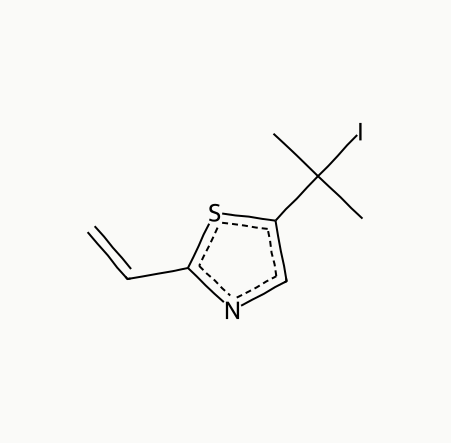 C=Cc1ncc(C(C)(C)I)s1